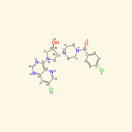 O=C(c1ccc(Cl)cc1)N1CCN([C@@H]2CN(c3ncnc4cc(Cl)cnc34)C[C@H]2O)CC1